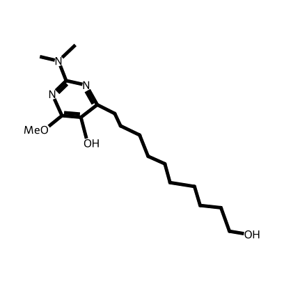 COc1nc(N(C)C)nc(CCCCCCCCCCO)c1O